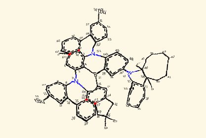 Cc1cc2c3c(c1)N(c1ccc(C(C)(C)C)cc1-c1ccccc1)c1cc4c(cc1B3c1cc(N3c5ccccc5C5(C)CCCCCCC35C)ccc1N2c1ccc(C(C)(C)C)cc1-c1ccccc1)CC(C)(C)C4